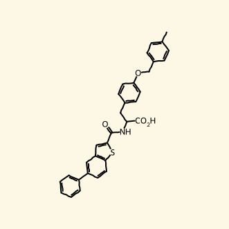 Cc1ccc(COc2ccc(CC(NC(=O)c3cc4cc(-c5ccccc5)ccc4s3)C(=O)O)cc2)cc1